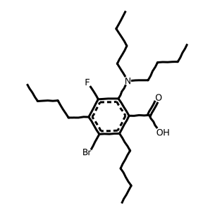 CCCCc1c(F)c(N(CCCC)CCCC)c(C(=O)O)c(CCCC)c1Br